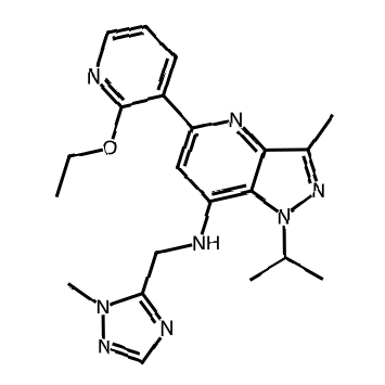 CCOc1ncccc1-c1cc(NCc2ncnn2C)c2c(n1)c(C)nn2C(C)C